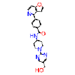 O=C(NC1CCN(c2ncc(CO)cn2)CC1)c1ccc(-c2nccc3occc23)cc1